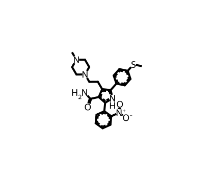 CSc1ccc(-c2[nH]c(-c3ccccc3[N+](=O)[O-])c(C(N)=O)c2CCN2CCN(C)CC2)cc1